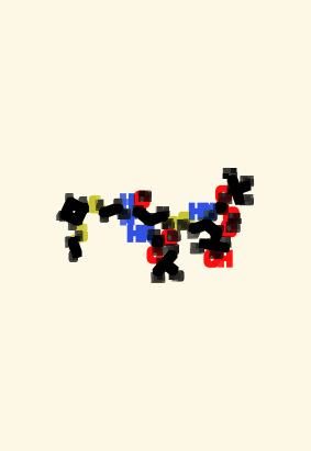 CCSC1CCC1SCCNC(=O)C(CSSCC(NC(=O)OC(C)(C)C)C(=O)C(C)(C)O)NC(=O)OC(C)(C)C